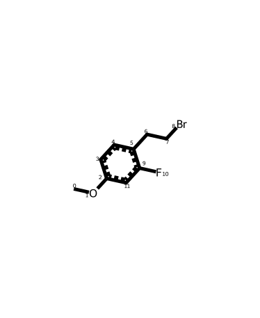 COc1ccc(CCBr)c(F)c1